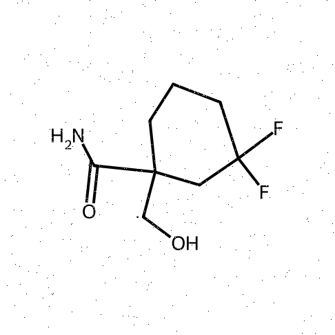 NC(=O)C1([CH]O)CCCC(F)(F)C1